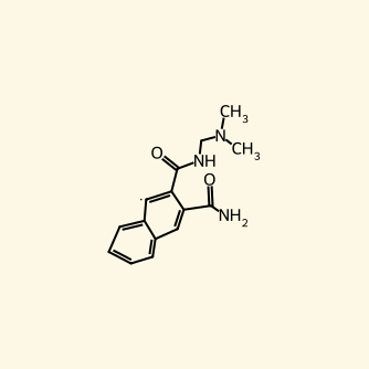 CN(C)CNC(=O)c1[c]c2ccccc2cc1C(N)=O